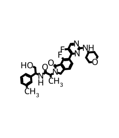 Cc1cccc(C(CO)NC(=O)C(C)N2Cc3ccc(-c4nc(NC5CCOCC5)ncc4F)c(F)c3C2=O)c1